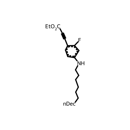 CCCCCCCCCCCCCCCCNc1ccc(C#CC(=O)OCC)c(F)c1